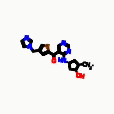 [CH2][C@@H]1C[C@@H](Nc2ncncc2C(=O)c2cc(Cn3ccnc3)cs2)C[C@@H]1O